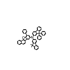 CC1(C)c2ccccc2-c2ccc(N(c3ccc4c(c3)C(c3ccccc3)(c3ccccc3)c3ccccc3-4)c3cc(-c4ccccc4)c4oc5c6ccccc6ccc5c4c3)cc21